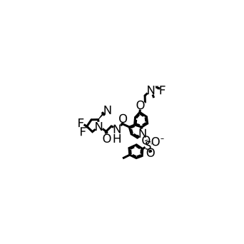 C[N+](C)(CF)CCOc1ccc2nccc(C(=O)NCC(=O)N3CC(F)(F)C[C@H]3C#N)c2c1.Cc1ccc(S(=O)(=O)[O-])cc1